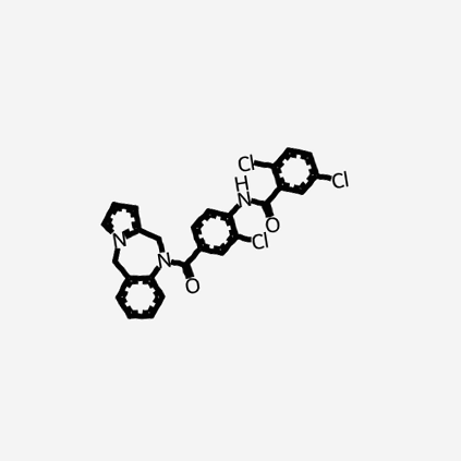 O=C(Nc1ccc(C(=O)N2Cc3cccn3Cc3ccccc32)cc1Cl)c1cc(Cl)ccc1Cl